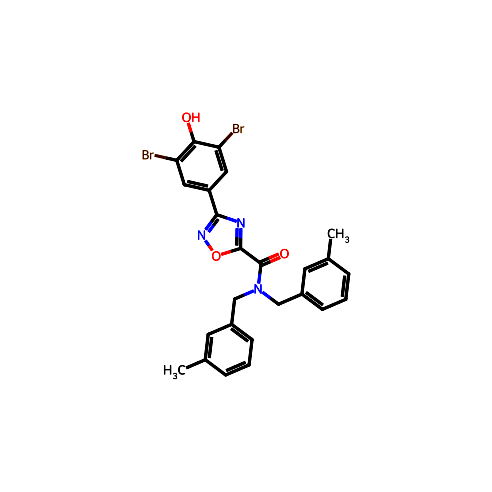 Cc1cccc(CN(Cc2cccc(C)c2)C(=O)c2nc(-c3cc(Br)c(O)c(Br)c3)no2)c1